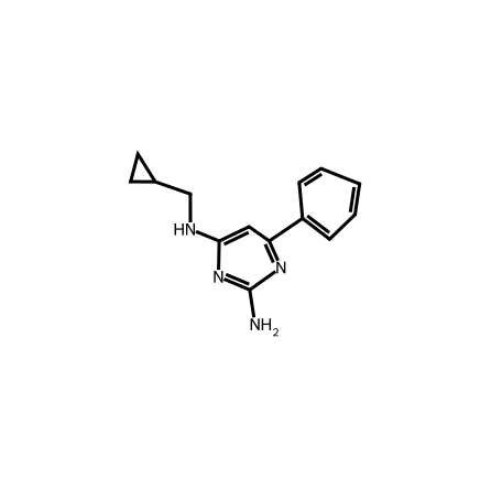 Nc1nc(NCC2CC2)cc(-c2ccccc2)n1